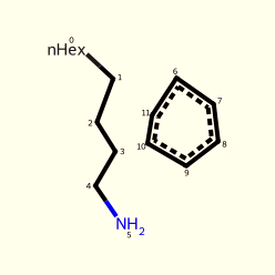 CCCCCCCCCCN.c1ccccc1